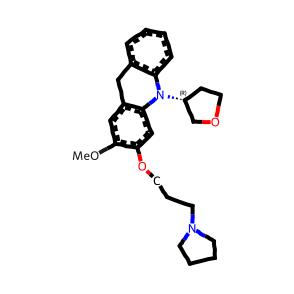 COc1cc2c(cc1OCCCN1CCCC1)N([C@@H]1CCOC1)c1ccccc1C2